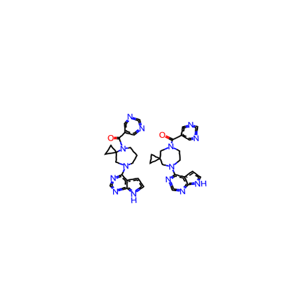 O=C(c1cncnc1)N1CCCN(c2ncnc3[nH]ccc23)CC12CC2.O=C(c1cncnc1)N1CCN(c2ncnc3[nH]ccc23)CC2(CC2)C1